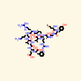 CC[C@H](C)[C@H](NC(=O)[C@@H](NC(=O)[C@H](CCCNC(=N)N)NC(=O)[C@H](C)NC(=O)CNC(=O)[C@H](Cc1ccc(O)cc1)NC(=O)[C@@H](N)CCSC)C(C)C)C(=O)N[C@@H](CCCNC(=N)N)C(=O)N[C@@H](CCCCN)C(=O)N[C@@H](C)C(=O)N[C@@H](CC(C)C)C(=O)N[C@@H](CCC(=O)O)C(=O)N[C@@H](Cc1ccccc1)C(=O)O